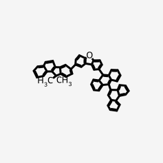 CC1(C)c2ccc(-c3ccc4oc5ccc(-c6c7ccccc7c(-c7cc8ccccc8c8ccccc78)c7ccccc67)cc5c4c3)cc2-c2ccc3ccccc3c21